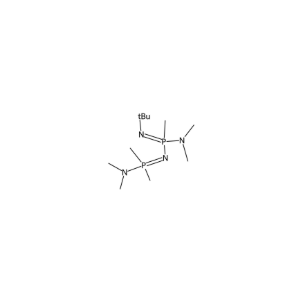 CN(C)P(C)(C)=NP(C)(=NC(C)(C)C)N(C)C